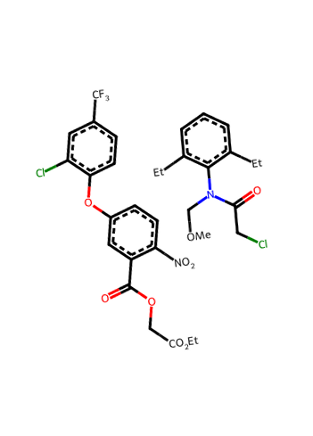 CCOC(=O)COC(=O)c1cc(Oc2ccc(C(F)(F)F)cc2Cl)ccc1[N+](=O)[O-].CCc1cccc(CC)c1N(COC)C(=O)CCl